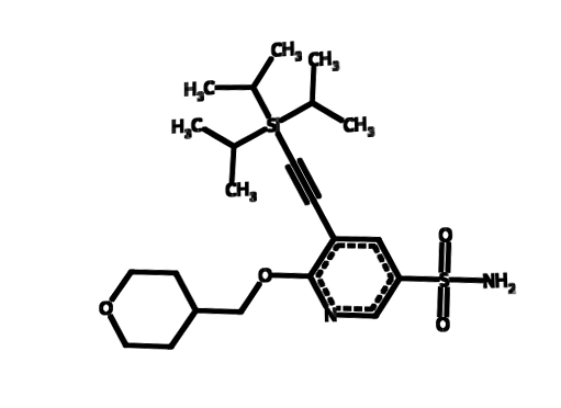 CC(C)[Si](C#Cc1cc(S(N)(=O)=O)cnc1OCC1CCOCC1)(C(C)C)C(C)C